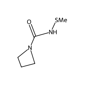 CSNC(=O)N1CCC1